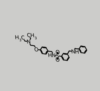 CCN(CC)CCOc1ccc(CNS(=O)(=O)c2cccc(CNCc3ccccc3)c2)cc1